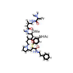 COC(CC(=O)C(C)CCN1CCCC1CC(Sc1ccc(NC(C)=O)cc1)C(=O)NCCc1ccccc1)CN(C)C(=O)CC(C)CNC(=O)C(C(C)C)N(C)C